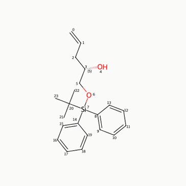 C=CC[C@H](O)CO[Si](c1ccccc1)(c1ccccc1)C(C)(C)C